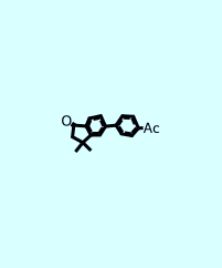 CC(=O)c1ccc(-c2ccc3c(c2)C(C)(C)CC3=O)cc1